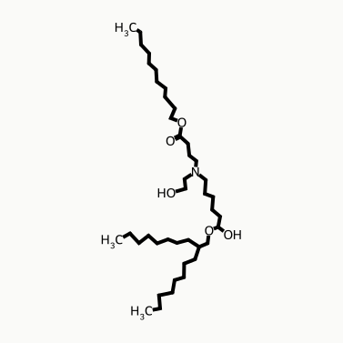 CCCCCCCCCCCOC(=O)CCCN(CCO)CCCCCC(O)OCC(CCCCCCCC)CCCCCCCC